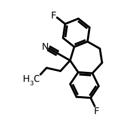 CCCC1(C#N)c2ccc(F)cc2CCc2ccc(F)cc21